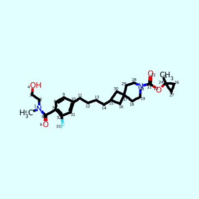 CN(CCO)C(=O)c1ccc(CCCCC2CC3(CCN(C(=O)OC4(C)CC4)CC3)C2)cc1F